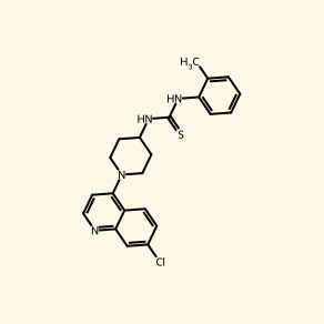 Cc1ccccc1NC(=S)NC1CCN(c2ccnc3cc(Cl)ccc23)CC1